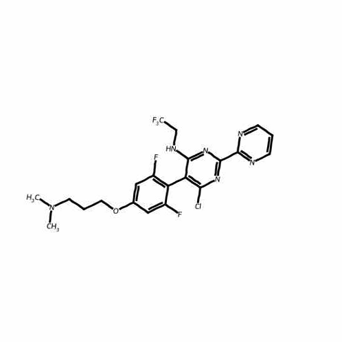 CN(C)CCCOc1cc(F)c(-c2c(Cl)nc(-c3ncccn3)nc2NCC(F)(F)F)c(F)c1